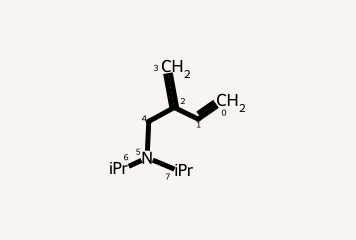 C=CC(=C)CN(C(C)C)C(C)C